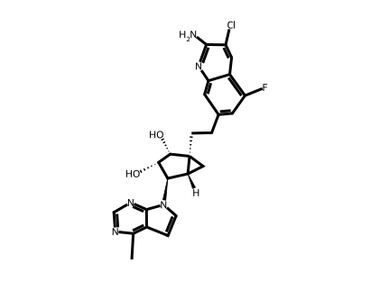 Cc1ncnc2c1ccn2[C@H]1[C@H](O)[C@H](O)[C@@]2(CCc3cc(F)c4cc(Cl)c(N)nc4c3)C[C@H]12